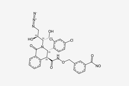 [N-]=[N+]=NC[C@H](O)[C@H](CO)N1C(=O)c2ccccc2[C@H](C(=O)NOCc2cccc(C(=O)N=O)c2)[C@H]1c1ccc(Cl)cc1Cl